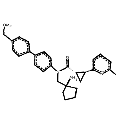 COCc1ccc(-c2ccc(N(CC3(N)CCCC3)C(=O)[C@H]3C[C@@H]3c3cccc(C)n3)cc2)cc1